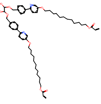 C=CC(=O)OCCCCCCCCCCCCOc1ccc(-c2ccc(COC3OCCOC3OCc3ccc(-c4ccc(OCCCCCCCCCCCCOC(=O)C=C)cn4)cc3)cc2)nc1